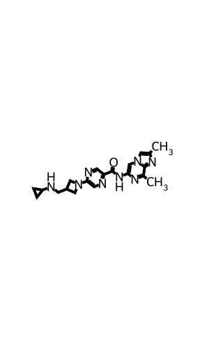 Cc1cn2cc(NC(=O)c3cnc(N4CC(CNC5CC5)C4)cn3)nc(C)c2n1